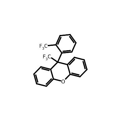 FC(F)(F)c1ccccc1C1(C(F)(F)F)c2ccccc2Oc2ccccc21